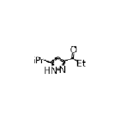 CCC(=O)c1cc(C(C)C)[nH]n1